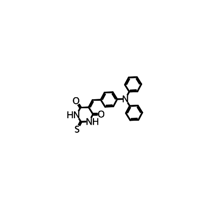 O=C1NC(=S)NC(=O)C1=Cc1ccc(N(c2ccccc2)c2ccccc2)cc1